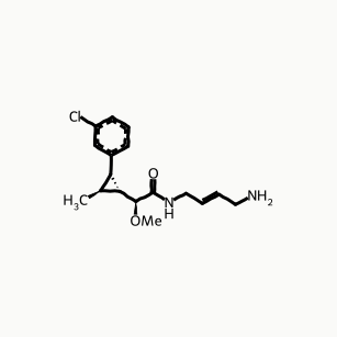 CO[C@H](C(=O)NC/C=C/CN)[C@H]1C(c2cccc(Cl)c2)[C@@H]1C